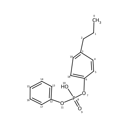 CCCc1ccc(OP(=O)(O)Oc2ccccc2)cc1